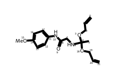 C=CCOC(C)(NCC(=O)Nc1ccc(OC)cc1)OCC=C